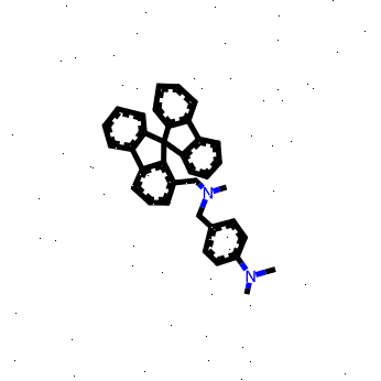 CN(Cc1ccc(N(C)C)cc1)Cc1cccc2c1C1(c3ccccc3-c3ccccc31)c1ccccc1-2